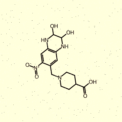 O=C(O)C1CCN(Cc2cc3c(cc2[N+](=O)[O-])NC(O)C(O)N3)CC1